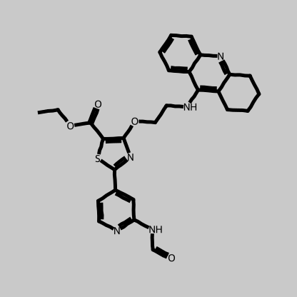 CCOC(=O)c1sc(-c2ccnc(NC=O)c2)nc1OCCNc1c2c(nc3ccccc13)CCCC2